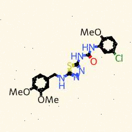 COc1ccc(Cl)cc1NC(=O)Nc1nnc(NCc2ccc(OC)c(OC)c2)s1